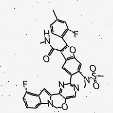 CNC(=O)c1c(-c2ccc(C)cc2F)oc2cc(N(C)S(C)(=O)=O)c(-c3ncc4c(n3)-c3cc5c(F)cccc5n3CO4)cc12